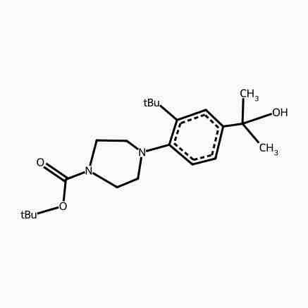 CC(C)(C)OC(=O)N1CCN(c2ccc(C(C)(C)O)cc2C(C)(C)C)CC1